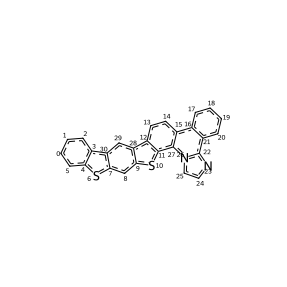 c1ccc2c(c1)sc1cc3sc4c(ccc5c6ccccc6c6nccn6c54)c3cc12